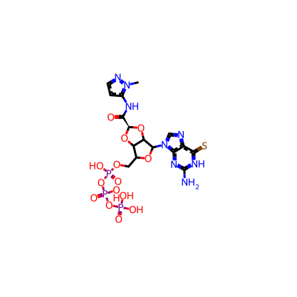 Cn1nccc1NC(=O)[C@@H]1OC2C(COP(=O)(O)OP(=O)(O)OP(=O)(O)O)OC(n3cnc4c(=S)[nH]c(N)nc43)C2O1